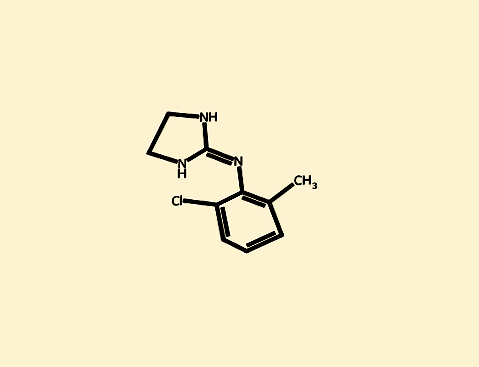 Cc1cccc(Cl)c1N=C1NCCN1